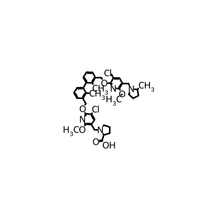 COc1nc(OCc2cccc(-c3cccc(COc4nc(OC)c(CN5CCCC5C(=O)O)cc4Cl)c3C)c2C)c(Cl)cc1CN1CCCC1C